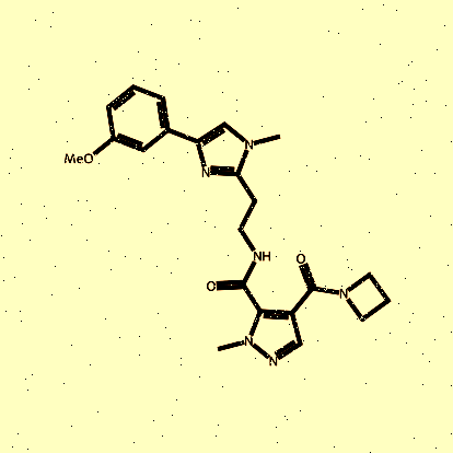 COc1cccc(-c2cn(C)c(CCNC(=O)c3c(C(=O)N4CCC4)cnn3C)n2)c1